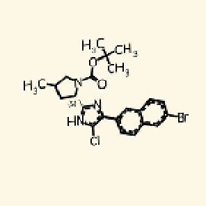 CC1C[C@@H](c2nc(-c3ccc4cc(Br)ccc4c3)c(Cl)[nH]2)N(C(=O)OC(C)(C)C)C1